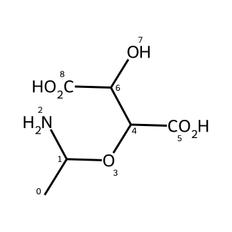 CC(N)OC(C(=O)O)C(O)C(=O)O